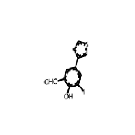 O=Cc1cc(-c2ccsc2)cc(I)c1O